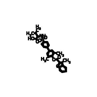 Cc1cc(-c2ccc(S(=O)(=O)N[C@@H](C(=O)O)C(C)C)cc2)cc(C)c1OC(=O)c1oc2ccccc2c1C